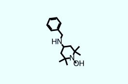 CC1(C)CC(NCc2ccccc2)CC(C)(C)N1O